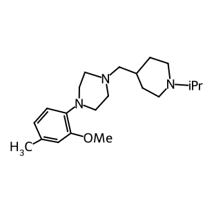 COc1cc(C)ccc1N1CCN(CC2CCN(C(C)C)CC2)CC1